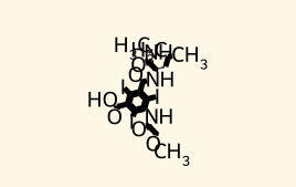 CNC(=O)[C@H](CC(C)C)NC(=O)c1c(I)c(NC(=O)COC)c(I)c(C(=O)O)c1I